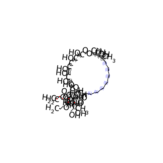 C=CCOC(=O)N[C@@H]1[C@H](O)[C@H](O[C@H]2/C=C/C=C/C=C/C=C/C=C/C=C/C=C/[C@H](C)[C@@H](O)[C@@H](C)[C@H](C)OC(=O)C[C@H](O)C[C@H](O)CC[C@@H](O)[C@H](O)C[C@H](O)C[C@]3(O)C[C@H](OC(=O)OCC=C)[C@@H](NC(=O)NN(C(=O)OCC=C)C(CO)CO)[C@H](C2)O3)O[C@H](C)[C@H]1O